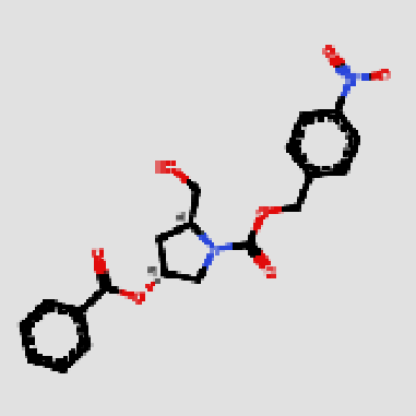 O=C(O[C@@H]1C[C@@H](CO)N(C(=O)OCc2ccc([N+](=O)[O-])cc2)C1)c1ccccc1